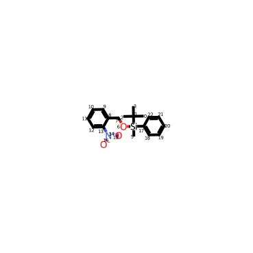 CC(C)(C)[Si](C)(OCc1ccccc1[N+](=O)[O-])c1ccccc1